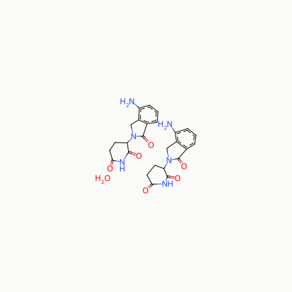 Nc1cccc2c1CN(C1CCC(=O)NC1=O)C2=O.Nc1cccc2c1CN(C1CCC(=O)NC1=O)C2=O.O